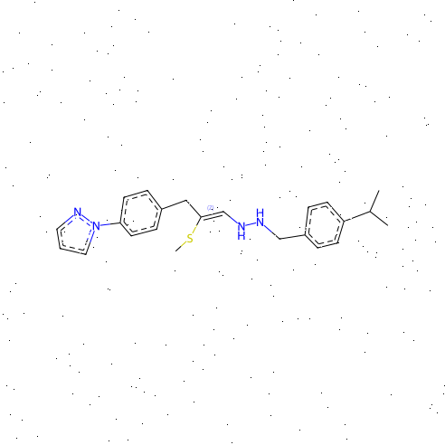 CS/C(=C\NNCc1ccc(C(C)C)cc1)Cc1ccc(-n2cccn2)cc1